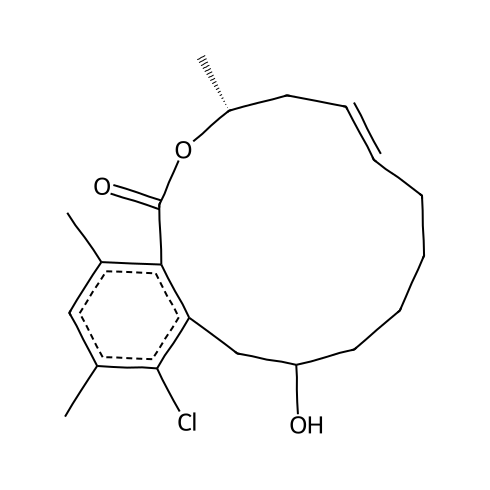 Cc1cc(C)c2c(c1Cl)CC(O)CCCC/C=C/C[C@@H](C)OC2=O